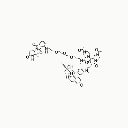 CC#C[C@]1(O)CC[C@H]2[C@@H]3CCC4=CC(=O)CCC4=C3[C@@H](c3ccc(N(C)CCCC(=O)N4CCN(C(C)=O)CC4C(=O)N4CCN(C(C)=O)CC4C(=O)N(C)CCCOCCOCCOCCCNc4cccc5c4C(=O)N(C4CCC(=O)NC4=O)C5=O)cc3)C[C@@]21C